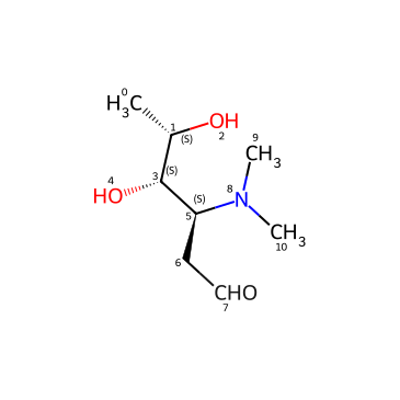 C[C@H](O)[C@@H](O)[C@H](CC=O)N(C)C